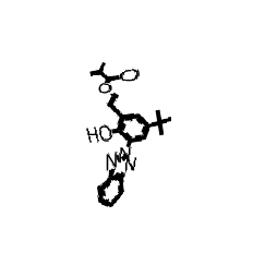 C=C(C)C(=O)OCCc1cc(C(C)(C)C)cc(-n2nc3ccccc3n2)c1O